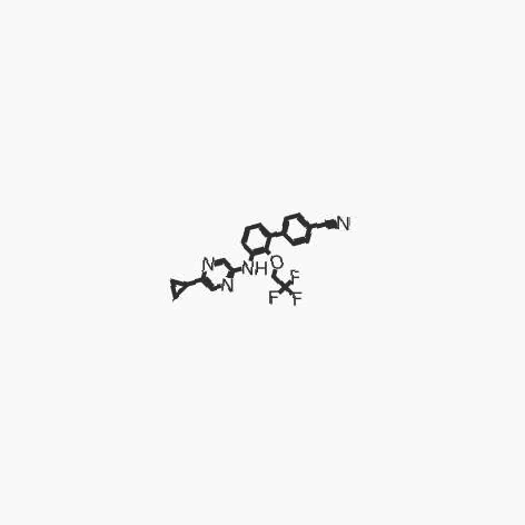 N#Cc1ccc(-c2cccc(Nc3cnc(C4CC4)cn3)c2OCC(F)(F)F)cc1